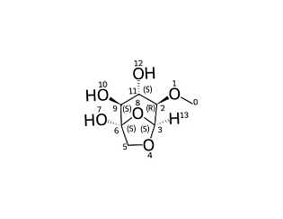 CO[C@H]1[C@H]2OC[C@](O)(O2)[C@@H](O)[C@@H]1O